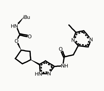 CC[C@H](C)NC(=O)O[C@@H]1CC[C@H](c2cc(NC(=O)Cc3cncc(C)n3)n[nH]2)C1